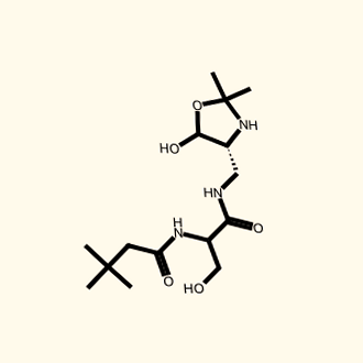 CC(C)(C)CC(=O)NC(CO)C(=O)NC[C@H]1NC(C)(C)OC1O